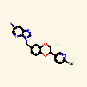 COc1ccc(C2COc3cc(Cn4cnc5cc(I)cnc54)ccc3O2)cn1